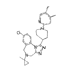 Cc1cc(N2CCC(c3nnc4n3-c3ccc(Cl)cc3CN(C3(C)CC3)C4)CC2)ncc1F